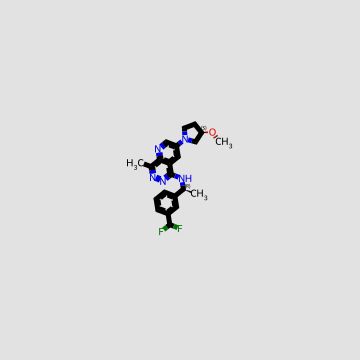 CO[C@H]1CCN(c2cnc3c(C)nnc(N[C@H](C)c4cccc(C(F)F)c4)c3c2)C1